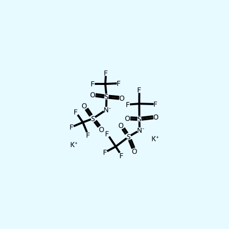 O=S(=O)([N-]S(=O)(=O)C(F)(F)F)C(F)(F)F.O=S(=O)([N-]S(=O)(=O)C(F)(F)F)C(F)(F)F.[K+].[K+]